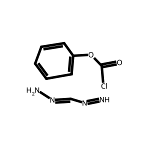 N=NC=NN.O=C(Cl)Oc1ccccc1